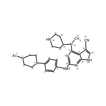 CC(=O)N1CCN(c2ccc(Nc3nc(N(C)C4CCNCC4)c4c(C#N)c[nH]c4n3)cc2)CC1